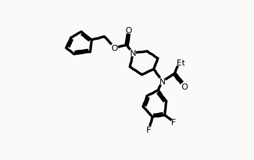 CCC(=O)N(c1ccc(F)c(F)c1)C1CCN(C(=O)OCc2ccccc2)CC1